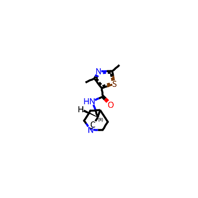 Cc1nc(C)c(C(=O)N[C@H]2CN3CCC2CC3)s1